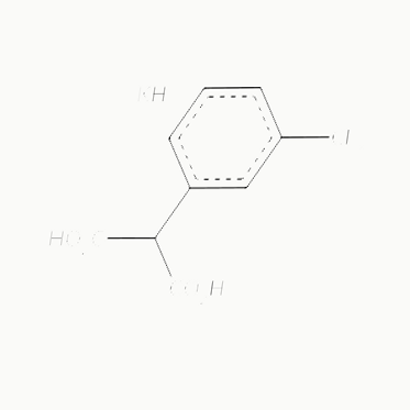 O=C(O)C(C(=O)O)c1cccc(C(F)(F)F)c1.[KH]